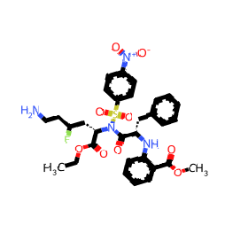 CCOC(=O)[C@H](CC(F)CCN)N(C(=O)[C@H](Cc1ccccc1)Nc1ccccc1C(=O)OC)S(=O)(=O)c1ccc([N+](=O)[O-])cc1